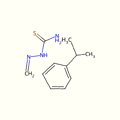 C=NNC(N)=S.CC(C)c1ccccc1